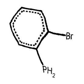 Pc1ccccc1Br